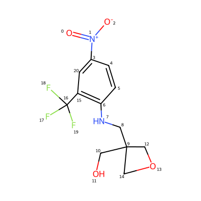 O=[N+]([O-])c1ccc(NCC2(CO)COC2)c(C(F)(F)F)c1